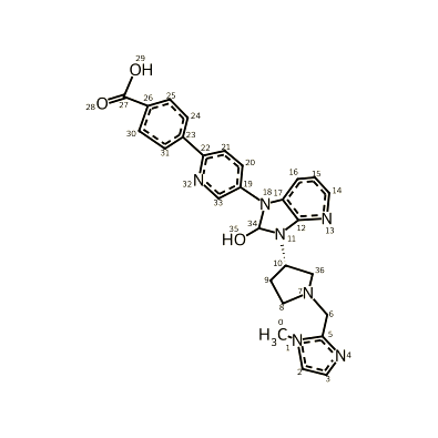 Cn1ccnc1CN1CC[C@H](N2c3ncccc3N(c3ccc(-c4ccc(C(=O)O)cc4)nc3)C2O)C1